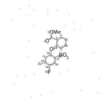 COC(=O)c1ccccc1Oc1cc(C)c(F)cc1[N+](=O)[O-]